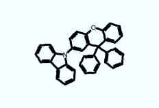 c1ccc(C2(c3ccccc3)c3ccccc3Oc3ccc(-n4c5ccccc5c5ccccc54)cc32)cc1